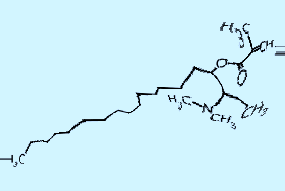 C=C(C)C(=O)OC(CCCCCCCCCCCCCC)C(CC)N(C)C